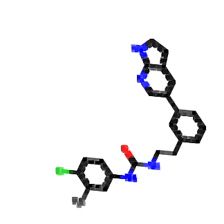 O=C(NCCc1cccc(-c2cnc3[nH]ccc3c2)c1)Nc1ccc(Cl)c(C(F)(F)F)c1